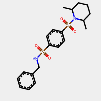 CC1CCCC(C)N1S(=O)(=O)c1ccc(S(=O)(=O)NCc2ccccc2)cc1